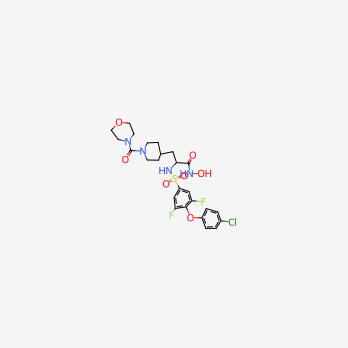 O=C(NO)C(CC1CCN(C(=O)N2CCOCC2)CC1)NS(=O)(=O)c1cc(F)c(Oc2ccc(Cl)cc2)c(F)c1